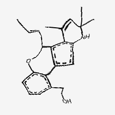 CC=CC1Oc2cccc(CO)c2-c2ccc3c(c21)C(C)=CC(C)(C)N3